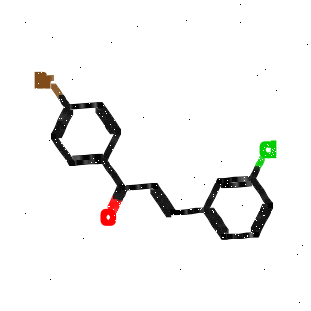 O=C(C=Cc1cccc(Cl)c1)c1ccc(Br)cc1